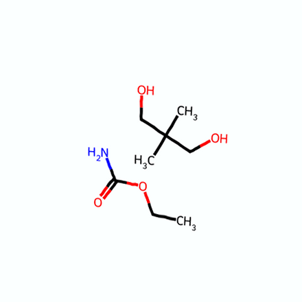 CC(C)(CO)CO.CCOC(N)=O